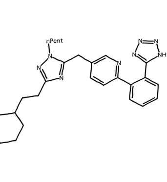 CCCCCn1nc(CCC2CCCCC2)nc1Cc1ccc(-c2ccccc2-c2nnn[nH]2)nc1